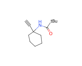 C#CC1(NC(=O)C(C)(C)C)CCCCC1